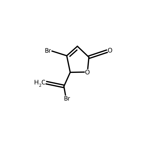 C=C(Br)C1OC(=O)C=C1Br